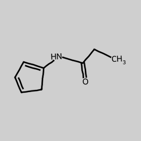 CCC(=O)NC1=CC=CC1